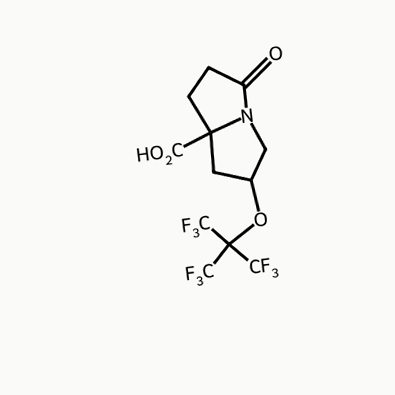 O=C1CCC2(C(=O)O)CC(OC(C(F)(F)F)(C(F)(F)F)C(F)(F)F)CN12